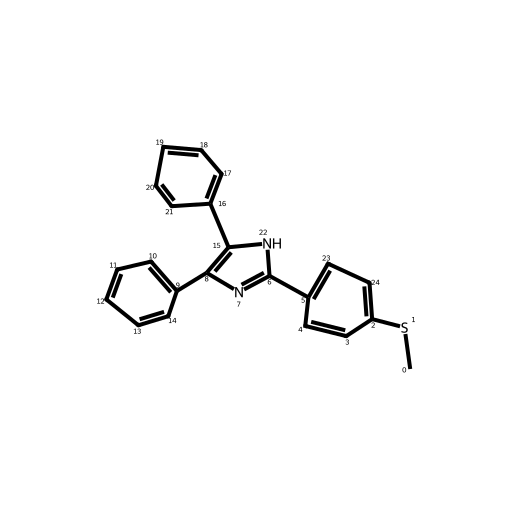 CSc1ccc(-c2nc(-c3ccccc3)c(-c3ccccc3)[nH]2)cc1